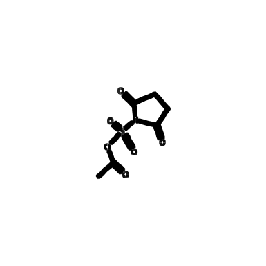 CC(=O)OS(=O)(=O)N1C(=O)CCC1=O